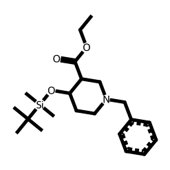 CCOC(=O)C1CN(Cc2ccccc2)CCC1O[Si](C)(C)C(C)(C)C